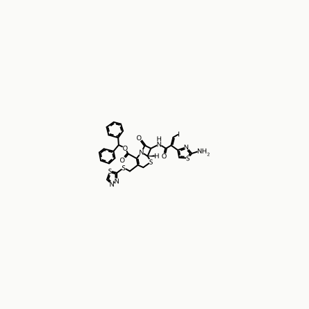 Nc1nc(C(=CI)C(=O)NC2C(=O)N3C(C(=O)OC(c4ccccc4)c4ccccc4)=C(CSc4nncs4)CS[C@@H]23)cs1